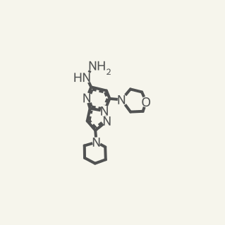 NNc1cc(N2CCOCC2)n2nc(N3CCCCC3)cc2n1